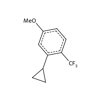 COc1ccc(C(F)(F)F)c(C2CC2)c1